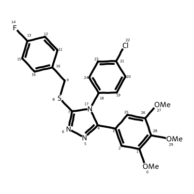 COc1cc(-c2nnc(SCc3ccc(F)cc3)n2-c2ccc(Cl)cc2)cc(OC)c1OC